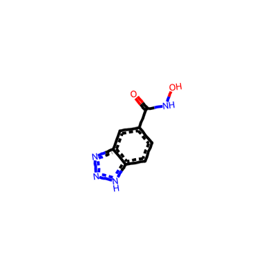 O=C(NO)c1ccc2[nH]nnc2c1